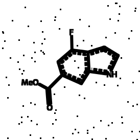 COC(=O)c1cc(F)c2cc[nH]c2c1